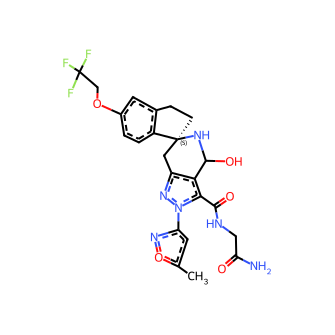 Cc1cc(-n2nc3c(c2C(=O)NCC(N)=O)C(O)N[C@@]2(CCc4cc(OCC(F)(F)F)ccc42)C3)no1